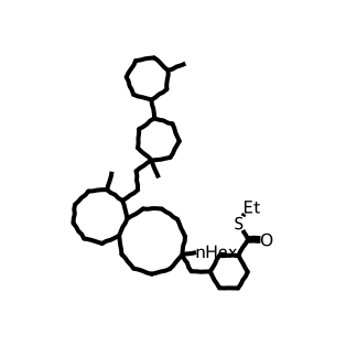 CCCCCCC1(CC2CCCC(C(=O)SCC)C2)CCCCC2CCCCCC(C)C(CCC3(C)CCCC(C4CCCCC(C)C4)CC3)C2CCCC1